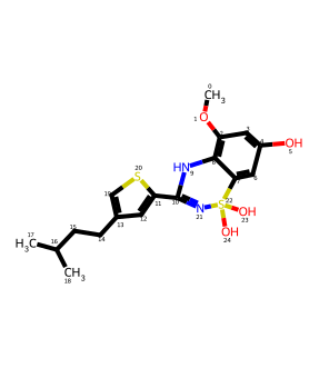 COc1cc(O)cc2c1NC(c1cc(CCC(C)C)cs1)=NS2(O)O